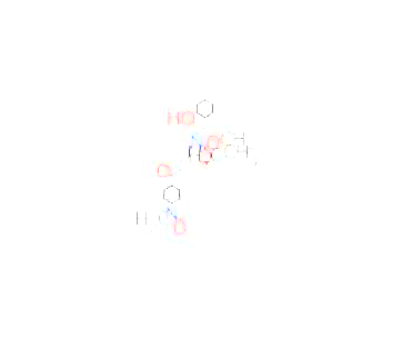 CN1C(=O)CCc2cc(C(=O)CCCCN(CCc3ccccc3O)C(=O)OC(C)(C)C)ccc21